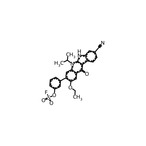 CCOc1cc2c(=O)c3c4ccc(C#N)cc4[nH]c3n(C(C)C)c2cc1-c1cccc(OS(=O)(=O)F)c1